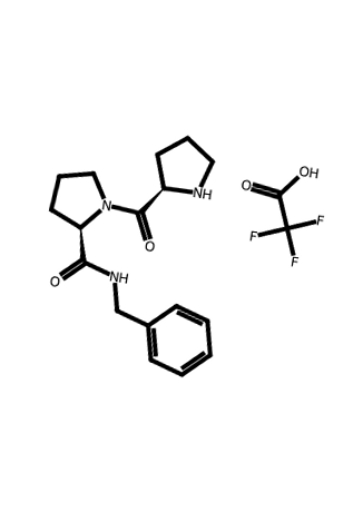 O=C(NCc1ccccc1)[C@H]1CCCN1C(=O)[C@H]1CCCN1.O=C(O)C(F)(F)F